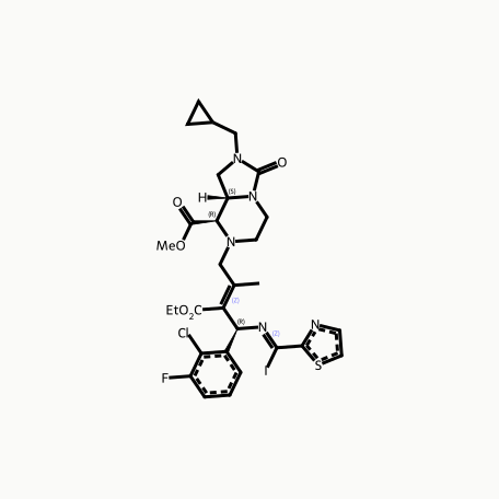 CCOC(=O)/C(=C(/C)CN1CCN2C(=O)N(CC3CC3)C[C@H]2[C@@H]1C(=O)OC)[C@@H](/N=C(\I)c1nccs1)c1cccc(F)c1Cl